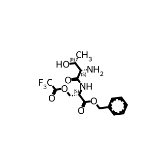 C[C@@H](O)[C@H](N)C(=O)N[C@@H](COC(=O)C(F)(F)F)C(=O)OCc1ccccc1